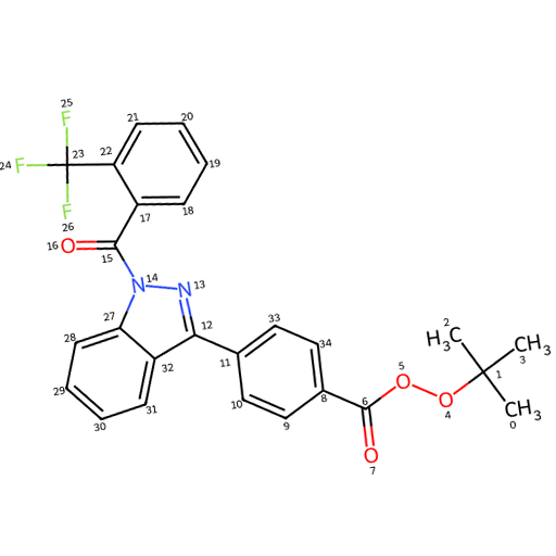 CC(C)(C)OOC(=O)c1ccc(-c2nn(C(=O)c3ccccc3C(F)(F)F)c3ccccc23)cc1